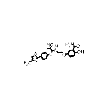 CC(O)C(NCCOc1ccc(O)c(C(N)=O)c1)Oc1ccc(-c2nc(C(F)(F)F)cn2C)cc1